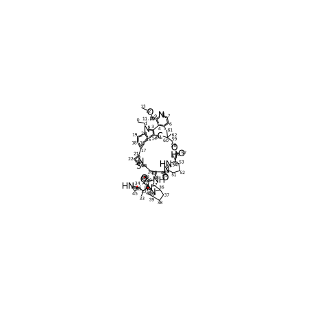 CCn1c(-c2cccnc2[C@H](C)OC)c2c3cc(ccc31)-c1csc(n1)C[C@H](NC(=O)[C@H](C(C)C)N1C3CCC1CN(C(=O)[C@@H]1CN1)C3)C(=O)N1CCC[C@H](N1)C(=O)OCC(C)(C)C2